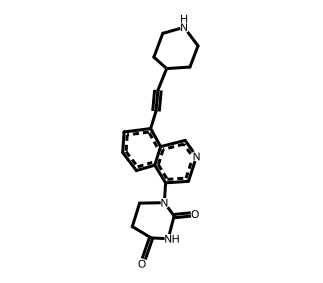 O=C1CCN(c2cncc3c(C#CC4CCNCC4)cccc23)C(=O)N1